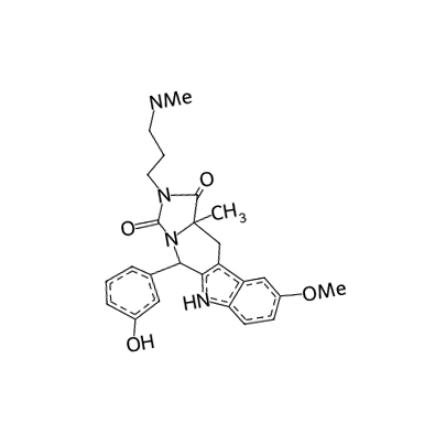 CNCCCN1C(=O)N2C(c3cccc(O)c3)c3[nH]c4ccc(OC)cc4c3CC2(C)C1=O